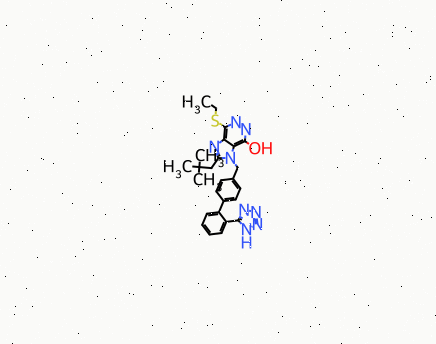 CCSc1nnc(O)c2c1nc(CC(C)(C)C)n2Cc1ccc(-c2ccccc2-c2nnn[nH]2)cc1